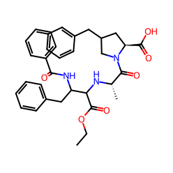 CCOC(=O)C(N[C@@H](C)C(=O)N1CC(Cc2ccccc2)C[C@H]1C(=O)O)C(Cc1ccccc1)NC(=O)c1ccccc1